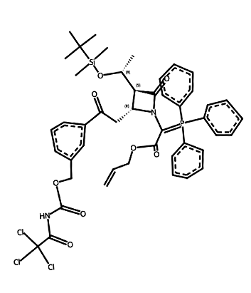 C=CCOC(=O)C(N1C(=O)[C@H]([C@@H](C)O[Si](C)(C)C(C)(C)C)[C@H]1CC(=O)c1cccc(COC(=O)NC(=O)C(Cl)(Cl)Cl)c1)=P(c1ccccc1)(c1ccccc1)c1ccccc1